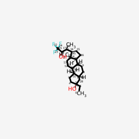 CC[C@@]1(O)CC[C@H]2[C@H](CC[C@@H]3[C@@H]2CC[C@]2(C)[C@@H]([C@H](C)[C@H](O)C(F)(F)F)CC[C@@H]32)C1